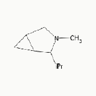 CC(C)C1C2CC2CN1C